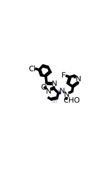 C/C=C\C(=N/N(C=O)Cc1cncc(F)c1)c1noc(-c2cccc(Cl)c2)n1